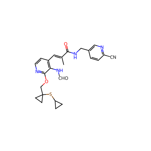 C/C(=C\c1ccnc(OCC2(SC3CC3)CC2)c1NC=O)C(=O)NCc1ccc(C#N)nc1